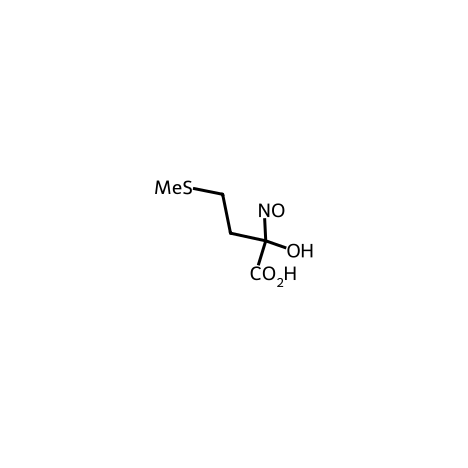 CSCCC(O)(N=O)C(=O)O